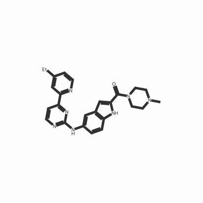 CCc1ccnc(-c2ccnc(Nc3ccc4[nH]c(C(=O)N5CCN(C)CC5)cc4c3)n2)c1